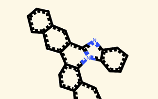 c1ccc2cc3c(cc2c1)c1ccc2ccccc2c1n1c2ccccc2nc31